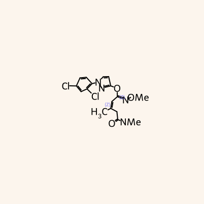 CNC(=O)C/C(C)=C\C(=N\OC)Oc1ccn(-c2ccc(Cl)cc2Cl)n1